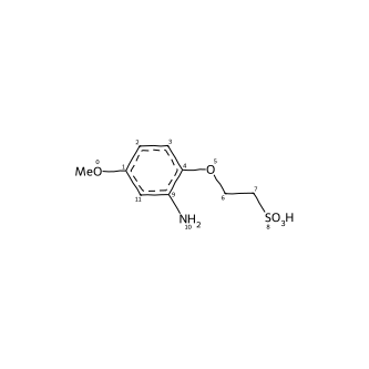 COc1ccc(OCCS(=O)(=O)O)c(N)c1